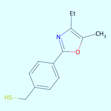 CCc1nc(-c2ccc(CS)cc2)oc1C